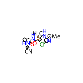 COc1ncc(Cl)cc1N[C@@H](C)c1ccc(C(=O)N[C@@H](CC2CCCC2)C(=O)NC23CC(C#N)(C2)C3)s1